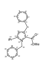 COC(=O)c1c(Cc2ccccc2)cc(C(C)C)n1Cc1ccccc1